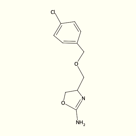 NC1=NC(COCc2ccc(Cl)cc2)CO1